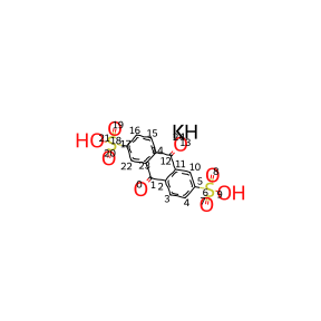 O=C1c2ccc(S(=O)(=O)O)cc2C(=O)c2ccc(S(=O)(=O)O)cc21.[KH]